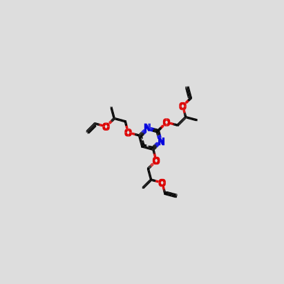 C=COC(C)COc1cc(OCC(C)OC=C)nc(OCC(C)OC=C)n1